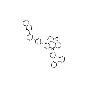 c1ccc(-c2ccccc2-c2cccc(N(c3ccc(-c4ccc(-c5cccc(-c6ccc7ccccc7c6)c5)cc4)cc3)c3cccc4oc5ccccc5c34)c2)cc1